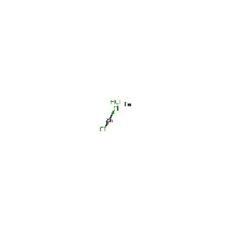 Cl.[Cl][Zn][Cl].[Fe]